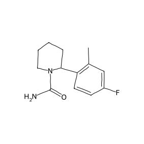 Cc1cc(F)ccc1C1CCCCN1C(N)=O